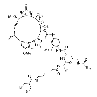 COc1cc(NC(=O)O[C@H]2CC(=O)N(C)c3cc(cc(OC)c3Cl)C/C(C)=C/C=C/[C@@H](OC)[C@@]3(O)C[C@H](OC(=O)N3)[C@@H](C)[C@@H]3O[C@@]23C)ccc1NC(=O)[C@H](CCCNC(N)=O)NC(=O)[C@@H](NC(=O)CCCCCNC(=O)C(CBr)CBr)C(C)C